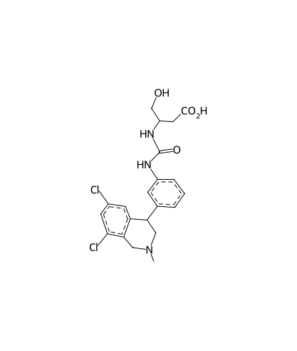 CN1Cc2c(Cl)cc(Cl)cc2C(c2cccc(NC(=O)NC(CO)CC(=O)O)c2)C1